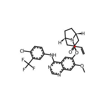 C=CC(=O)N1[C@@H]2CC[C@H]1C[C@H](Oc1cc3c(Nc4ccc(Cl)c(C(F)(F)F)c4)ncnc3cc1OC)C2